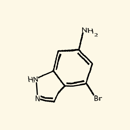 Nc1cc(Br)c2cn[nH]c2c1